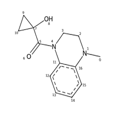 CN1CCN(C(=O)C2(O)CC2)c2ccccc21